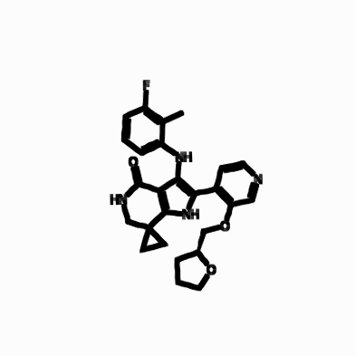 Cc1c(F)cccc1Nc1c(-c2ccncc2OC[C@@H]2CCCO2)[nH]c2c1C(=O)NCC21CC1